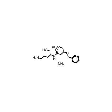 CCCCCCCCCCC[C@H](CC(=O)N[C@@H](CO)CCCN)OCc1ccccc1.N